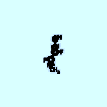 Cn1cc2cc(-c3cc(F)c4nc(C56CNC(C5)C6)cn4c3)cc(F)c2n1